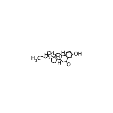 C=C(CCC)[C@H]1CC[C@H]2[C@@H]3CC(=O)c4cc(O)ccc4[C@H]3CC[C@]12C